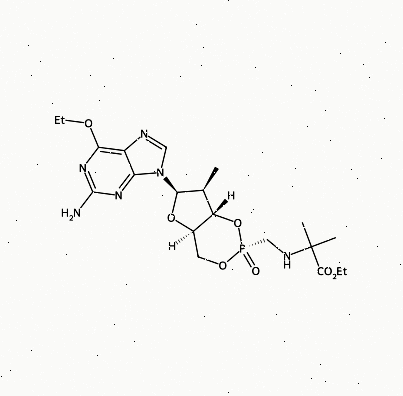 CCOC(=O)C(C)(C)NC[P@]1(=O)OC[C@H]2O[C@@H](n3cnc4c(OCC)nc(N)nc43)[C@@H](C)[C@@H]2O1